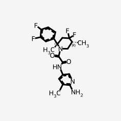 Cc1cc(NC(=O)C(=O)N2C[C@@H](C)C(F)(F)C[C@@]2(C)c2ccc(F)c(F)c2)cnc1N